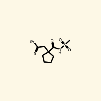 CC(C)C(=S)CC1(C(=O)NS(C)(=O)=O)CCCC1